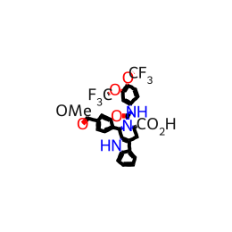 COC(=O)c1ccc(C2c3[nH]c4ccccc4c3CC(C(=O)O)N2C(=O)Nc2ccc(OC(F)(F)F)c(OC(F)(F)F)c2)cc1